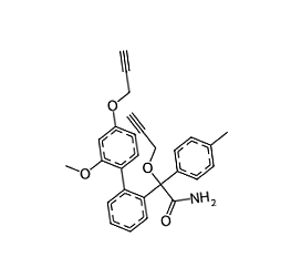 C#CCOc1ccc(-c2ccccc2C(OCC#C)(C(N)=O)c2ccc(C)cc2)c(OC)c1